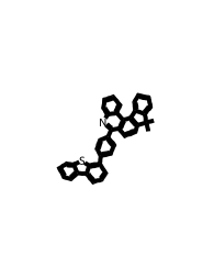 CC1(C)c2ccccc2-c2c1ccc1c(-c3ccc(-c4cccc5c4sc4ccccc45)cc3)nc3ccccc3c21